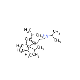 CC(C)=C[SiH](CCCNC(C)C)[Si](C(C)C)(C(C)C)C(C)C